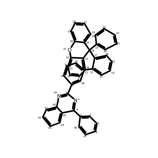 c1ccc(-c2nc(-c3cccc(-c4ccccc4C4(c5ccccc5)c5ccccc5Oc5ccccc54)c3)nc3ccccc23)cc1